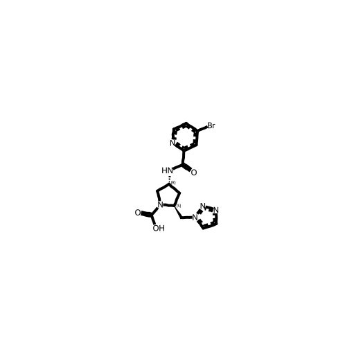 O=C(N[C@@H]1C[C@@H](Cn2ccnn2)N(C(=O)O)C1)c1cc(Br)ccn1